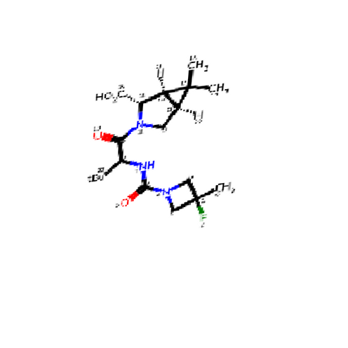 CC1(F)CN(C(=O)NC(C(=O)N2C[C@H]3[C@@H]([C@H]2C(=O)O)C3(C)C)C(C)(C)C)C1